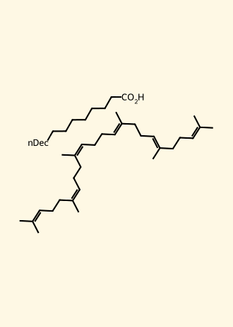 CC(C)=CCCC(C)=CCCC(C)=CCCC=C(C)CCC=C(C)CCC=C(C)C.CCCCCCCCCCCCCCCCCC(=O)O